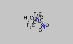 Cc1ccc2c(c1)c1ccccc1n2-c1c(-c2cccc(C(F)(F)F)c2)cc(-c2cc(-c3ccccc3)nc(-c3ccccc3)n2)cc1-c1cccc(C(F)(F)F)c1